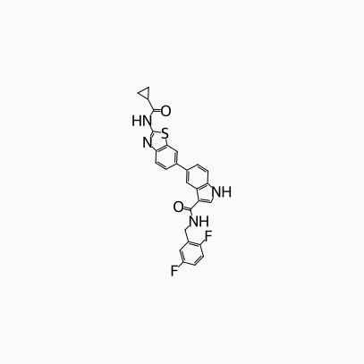 O=C(NCc1cc(F)ccc1F)c1c[nH]c2ccc(-c3ccc4nc(NC(=O)C5CC5)sc4c3)cc12